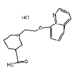 Cl.O=C(O)C1CCCN(CCOc2cccc3cccnc23)C1